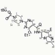 CCOc1nc(N2CCN(C(=O)OC(C)(C)C)[C@@H](C)C2)ncc1C(=O)Nc1cc(F)c2nc(C)cn2c1